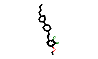 CCCCC1CCC(C2CCC(/C=C/c3ccc(OCC)c(F)c3Cl)CC2)CC1